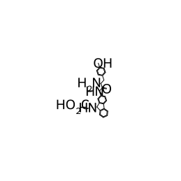 N[C@@H](Cc1ccc(O)cc1)C(=O)Nc1ccc2c(c1)C(NCC(=O)O)c1ccccc1-2